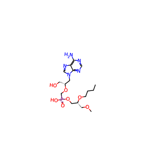 CCCCO[C@H](COC)COP(=O)(O)CO[C@H](CO)Cn1cnc2c(N)ncnc21